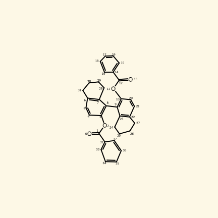 O=C(Oc1ccc2c(c1-c1c(OC(=O)c3ccccc3)ccc3c1CCCC3)CCCC2)c1ccccc1